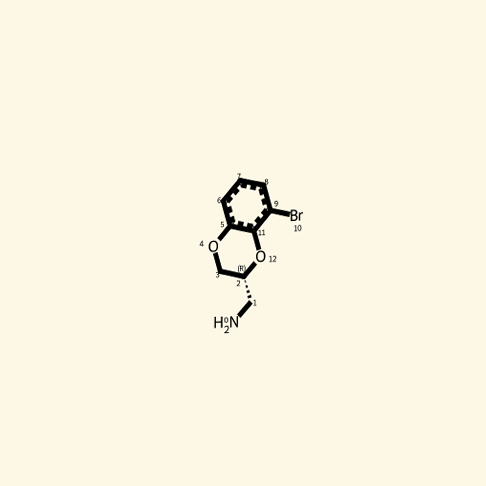 NC[C@@H]1COc2cccc(Br)c2O1